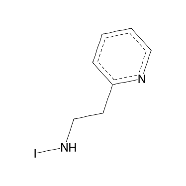 INCCc1ccccn1